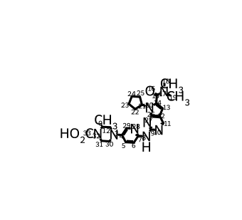 C[C@H]1CN(c2ccc(Nc3ncc4cc(C(=O)N(C)C)n(C5CCCC5)c4n3)nc2)CCN1C(=O)O